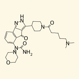 CN(C)CCCCC(=O)N1CCC(c2[nH]nc3c2C(=O)c2c-3cccc2N(C(N)=O)N2CCOCC2)CC1